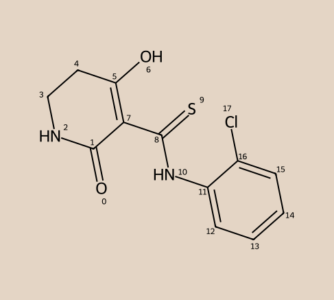 O=C1NCCC(O)=C1C(=S)Nc1ccccc1Cl